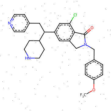 O=C1c2c(Cl)cc(C(Cc3ccncc3)C3CCNCC3)cc2CN1Cc1ccc(OC(F)(F)F)cc1